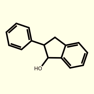 OC1c2ccccc2CC1c1ccccc1